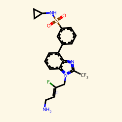 NC/C=C(\F)Cn1c(C(F)(F)F)nc2c(-c3cccc(S(=O)(=O)NC4CC4)c3)cccc21